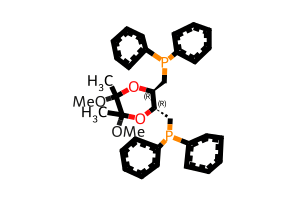 COC1(C)O[C@@H](CP(c2ccccc2)c2ccccc2)[C@H](CP(c2ccccc2)c2ccccc2)OC1(C)OC